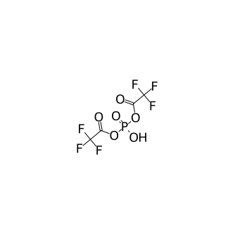 O=C(OP(=O)(O)OC(=O)C(F)(F)F)C(F)(F)F